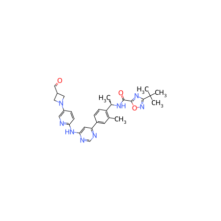 Cc1cc(-c2cc(Nc3ccc(N4CC(C=O)C4)cn3)ncn2)ccc1[C@@H](C)NC(=O)c1nc(C(C)(C)C)no1